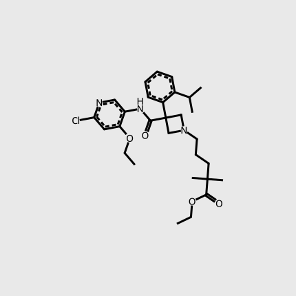 CCOC(=O)C(C)(C)CCCN1CC(C(=O)Nc2cnc(Cl)cc2OCC)(c2ccccc2C(C)C)C1